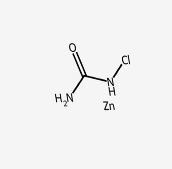 NC(=O)NCl.[Zn]